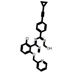 C=N/C(=N\C(=N/CO)c1ccc(C#CC2CC2)cc1)c1c(Cl)cccc1OCc1ccccn1